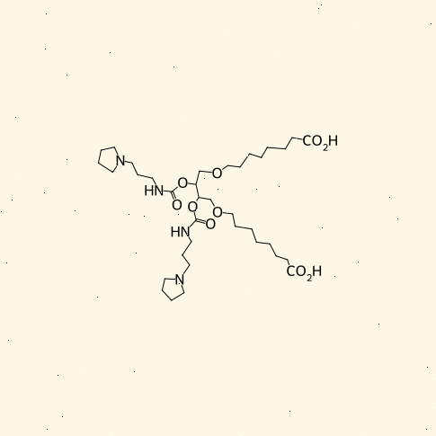 O=C(O)CCCCCCCOCC(OC(=O)NCCCN1CCCC1)C(COCCCCCCCC(=O)O)OC(=O)NCCCN1CCCC1